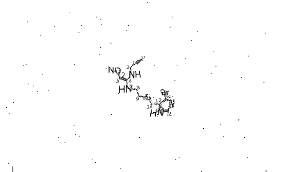 C#CCNC(=C[N+](=O)[O-])NCCSCc1[nH]cnc1Br